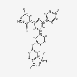 COc1ccc(CN2CCCC(c3cc(-c4ccc(C)cc4)cc(C(CC(C)C)C(=O)O)c3)C2)cc1C(F)(F)F